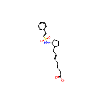 O=C(O)CCCC=CCC1CCCC1NS(=O)(=O)C=Cc1ccccc1